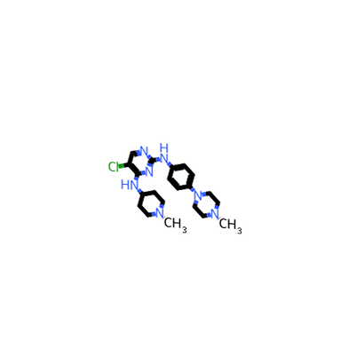 CN1CCC(Nc2nc(Nc3ccc(N4CCN(C)CC4)cc3)ncc2Cl)CC1